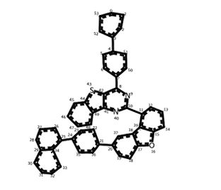 c1ccc(-c2ccc(-c3nc(-c4cccc5oc6ccc(-c7ccc(-c8cccc9ccccc89)cc7)cc6c45)nc4c3sc3ccccc34)cc2)cc1